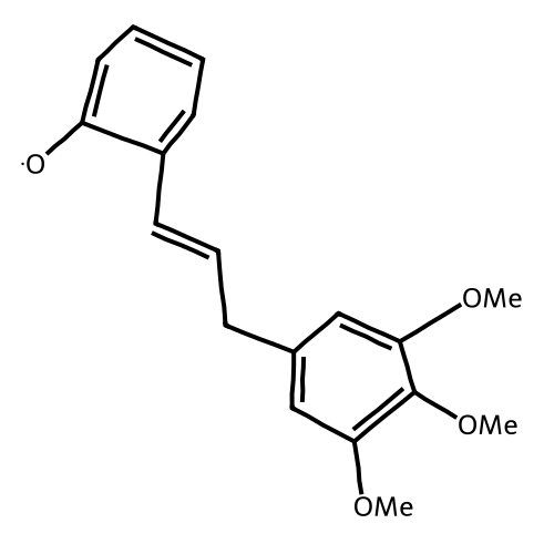 COc1cc(CC=Cc2ccccc2[O])cc(OC)c1OC